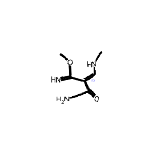 CN/C=C(\C(=N)OC)C(N)=O